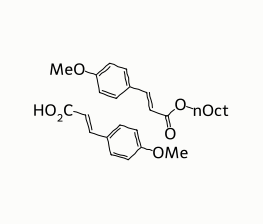 CCCCCCCCOC(=O)C=Cc1ccc(OC)cc1.COc1ccc(C=CC(=O)O)cc1